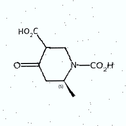 C[C@H]1CC(=O)C(C(=O)O)CN1C(=O)O